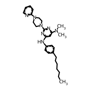 CCCCCCCc1ccc(Nc2cc(N(C)C)nc(N3CCN(c4ccccn4)CC3)n2)cc1